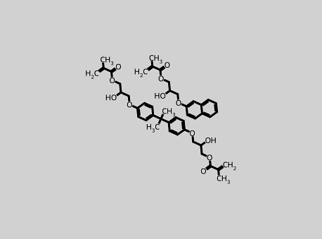 C=C(C)C(=O)OCC(O)COc1ccc(C(C)(C)c2ccc(OCC(O)COC(=O)C(=C)C)cc2)cc1.C=C(C)C(=O)OCC(O)COc1ccc2ccccc2c1